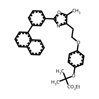 CCOC(=O)C(C)(C)Oc1ccc(OCCc2nc(-c3cccc(-c4cccc5ccccc45)c3)oc2C)cc1